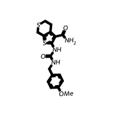 COc1ccc(CNC(=O)Nc2sc3c(c2C(N)=O)CCSC3)cc1